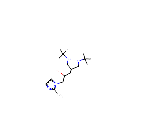 CC(=O)C(C)(C)NCC(CNC(C)(C)C(C)=O)CC(O)Cn1ccnc1[N+](=O)[O-]